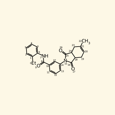 CCc1ccccc1NC(=O)c1cccc(N2C(=O)C3CC=C(C)CC3C2=O)c1